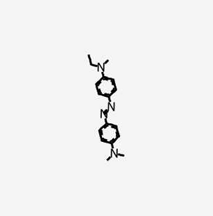 CCN(C)c1ccc(N=Nc2ccc(N(C)C)cc2)cc1